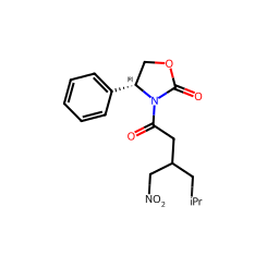 CC(C)CC(CC(=O)N1C(=O)OC[C@H]1c1ccccc1)C[N+](=O)[O-]